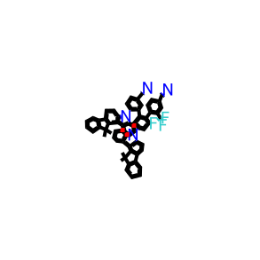 CC1(C)c2ccccc2-c2ccc3c(c21)c1ccccc1n3-c1ccc(-c2ccc(C#N)cc2C(F)(F)F)c(-c2cc(C#N)ccc2-n2c3ccccc3c3c4c(ccc32)-c2ccccc2C4(C)C)c1